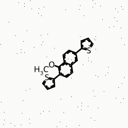 COc1c(-c2cccs2)ccc2cc(-c3cccs3)ccc12